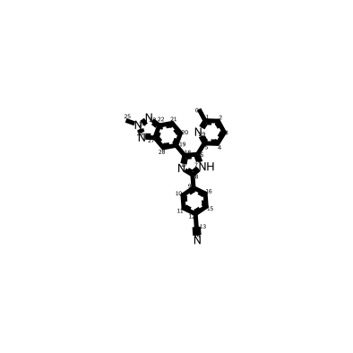 Cc1cccc(-c2[nH]c(-c3ccc(C#N)cc3)nc2-c2ccc3nn(C)nc3c2)n1